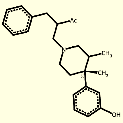 CC(=O)C(Cc1ccccc1)CN1CC[C@@](C)(c2cccc(O)c2)C(C)C1